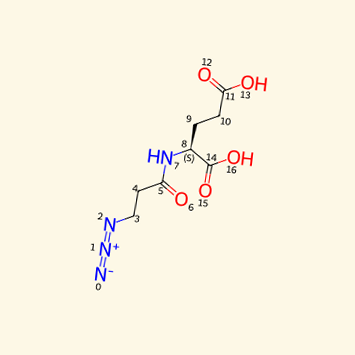 [N-]=[N+]=NCCC(=O)N[C@@H](CCC(=O)O)C(=O)O